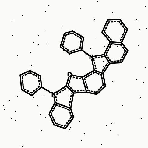 c1ccc(-n2c3ccccc3c3c4ccc5c6ccc7ccccc7c6n(-c6ccccc6)c5c4oc32)cc1